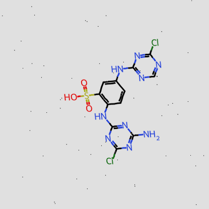 Nc1nc(Cl)nc(Nc2ccc(Nc3n[c]nc(Cl)n3)cc2S(=O)(=O)O)n1